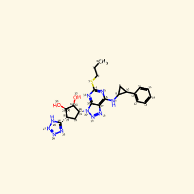 CCCSc1nc(NC2CC2c2ccccc2)c2nnn([C@@H]3C[C@H](c4nnn[nH]4)[C@@H](O)[C@H]3O)c2n1